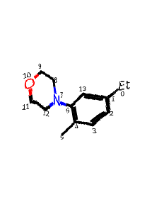 CCc1ccc(C)c(N2CCOCC2)c1